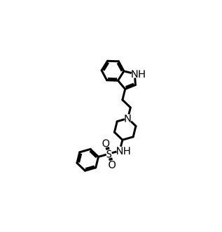 O=S(=O)(NC1CCN(CCc2c[nH]c3ccccc23)CC1)c1ccccc1